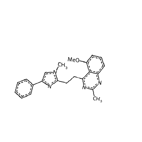 COc1cccc2nc(C)nc(CCc3nc(-c4ccccc4)cn3C)c12